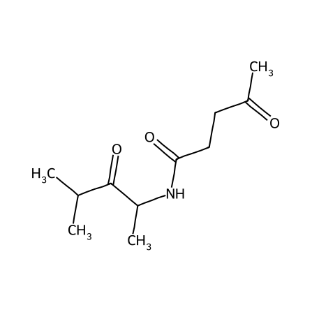 CC(=O)CCC(=O)NC(C)C(=O)C(C)C